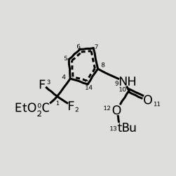 CCOC(=O)C(F)(F)c1cccc(NC(=O)OC(C)(C)C)c1